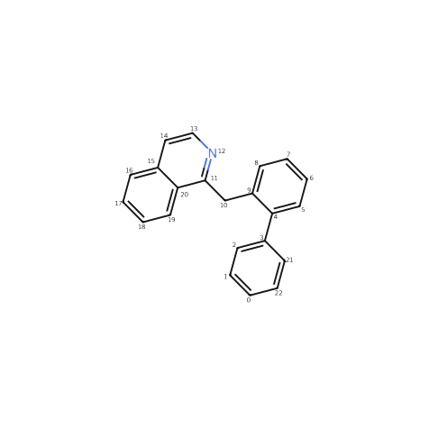 c1ccc(-c2ccccc2Cc2nccc3ccccc23)cc1